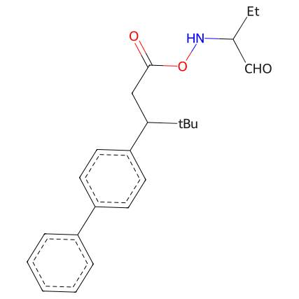 CCC(C=O)NOC(=O)CC(c1ccc(-c2ccccc2)cc1)C(C)(C)C